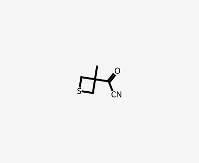 CC1(C(=O)C#N)CSC1